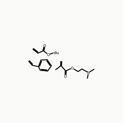 C=C(C)C(=O)OCCN(C)C.C=CC(=O)OCCCC.C=Cc1ccccc1